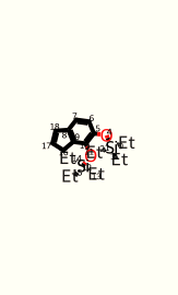 CC[Si](CC)(CC)Oc1ccc2c(c1O[Si](CC)(CC)CC)CC=C2